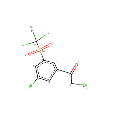 O=C(CBr)c1cc(Br)cc(S(=O)(=O)C(F)(F)F)c1